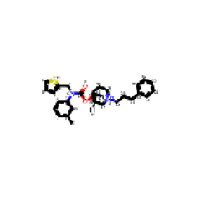 Cc1cccc(N(Cc2cccs2)C(=O)O[C@H]2C[N+]3(CCCc4ccccc4)CCC2CC3)c1